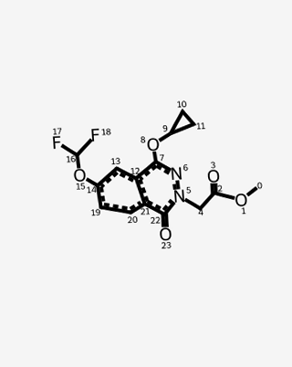 COC(=O)Cn1nc(OC2CC2)c2cc(OC(F)F)ccc2c1=O